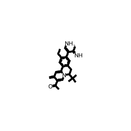 C=C1C=C2c3cc(CC)c(/C(=C/N)C(C)=N)cc3CC(C(C)(C)C)N2C=C1C(C)=O